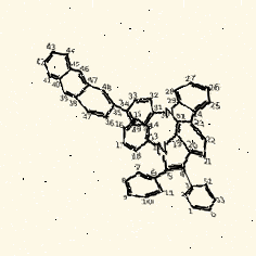 c1ccc(-c2c(-c3ccccc3)n(-c3ccccc3)c3c2ccc2c4ccccc4n(-c4ccc(-c5ccc6cc7ccccc7cc6c5)cc4)c23)cc1